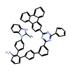 CC(C)C1Nc2ccccc2N1c1ccc(-c2c(N)cccc2-c2ccc(-c3cccc(-c4nc(-c5ccccc5)nc(-c5ccc6c7ccccc7c7ccccc7c6c5)n4)c3)cc2)cc1